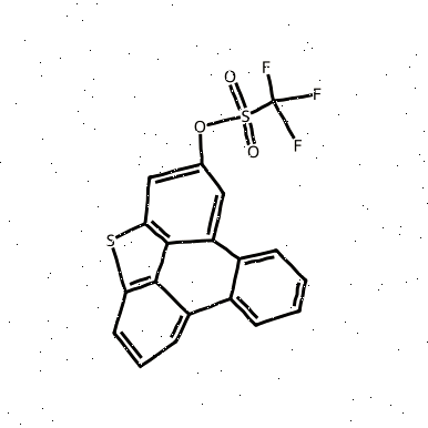 O=S(=O)(Oc1cc2sc3cccc4c5ccccc5c(c1)c2c34)C(F)(F)F